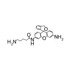 NCCCCC(=O)Nc1ccc2c(c1)Oc1cc(N)ccc1C21OCc2ccccc21